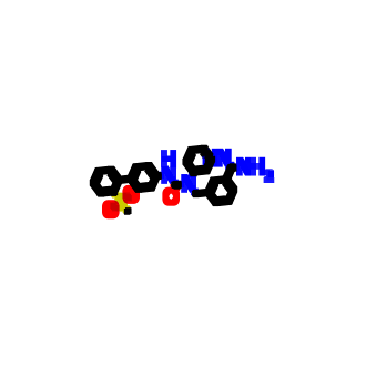 CS(=O)(=O)c1ccccc1-c1ccc(NC(=O)N(Cc2cccc(C(=N)N)c2)c2ccccc2)cc1